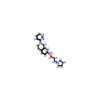 c1cnnc(N2CCc3ccc(OCCCN4CCCC4)nc3C2)c1